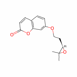 CC1(C)O[C@@H]1CCOc1ccc2ccc(=O)oc2c1